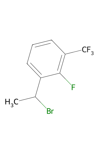 CC(Br)c1cccc(C(F)(F)F)c1F